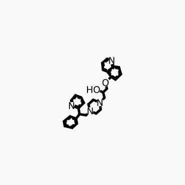 OC(COc1cccc2ncccc12)CN1CCN(CC(c2ccccc2)c2ccccn2)CC1